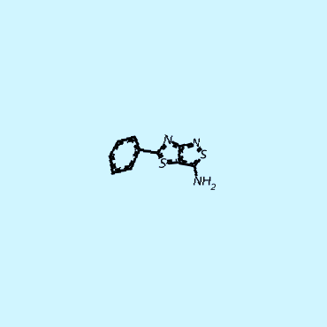 Nc1snc2nc(-c3ccccc3)sc12